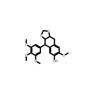 COc1cc2c(cc1O)C(c1cc(OC)c(OC)c(OC)c1)C1OCOC1C2